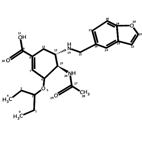 CCC(CC)OC1C=C(C(=O)O)C[C@H](NCc2ccc3occc3c2)[C@H]1NC(C)=O